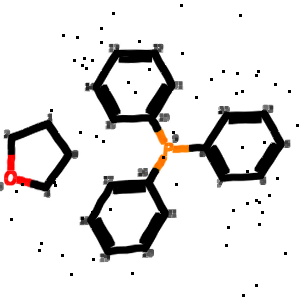 C1CCOC1.c1ccc(P(c2ccccc2)c2ccccc2)cc1